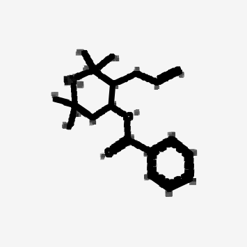 C=CCC1C(OC(=O)c2ccccc2)CC(C)(C)NC1(C)C